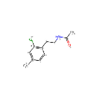 O=C(NCCc1ccc(C(F)(F)F)cc1Cl)C(F)(F)F